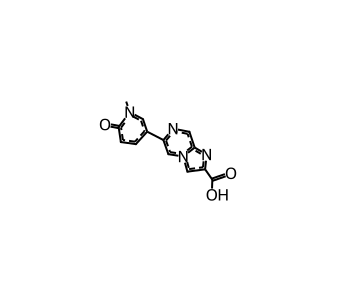 Cn1cc(-c2cn3cc(C(=O)O)nc3cn2)ccc1=O